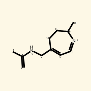 C=C(C)NCC1=CC=NC(C)CC1